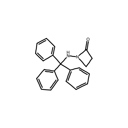 O=C1CCN1NC(c1ccccc1)(c1ccccc1)c1ccccc1